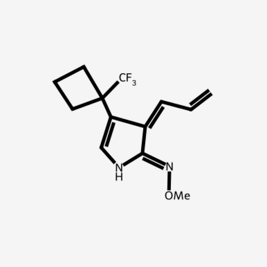 C=C/C=C1/C(C2(C(F)(F)F)CCC2)=CN/C1=N\OC